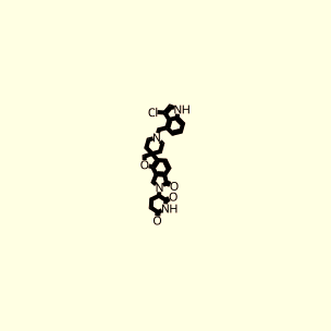 O=C1CCC(N2Cc3c(ccc4c3OCC43CCN(Cc4cccc5[nH]cc(Cl)c45)CC3)C2=O)C(=O)N1